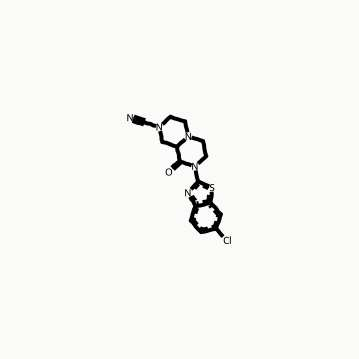 N#CN1CCN2CCN(c3nc4ccc(Cl)cc4s3)C(=O)C2C1